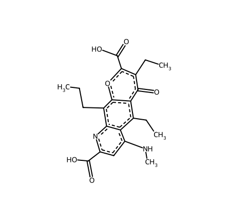 CCCc1c2nc(C(=O)O)cc(NC)c2c(CC)c2c(=O)c(CC)c(C(=O)O)oc12